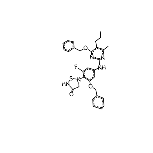 CCCc1c(C)nc(Nc2cc(F)c(N3CC(=O)NS3)c(OCc3ccccc3)c2)nc1OCc1ccccc1